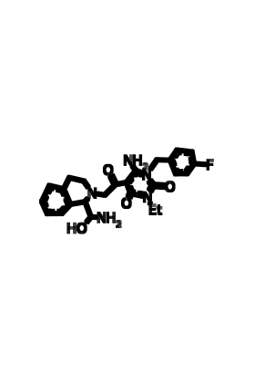 CCn1c(=O)c(C(=O)CN2CCc3ccccc3C2C(N)O)c(N)n(Cc2ccc(F)cc2)c1=O